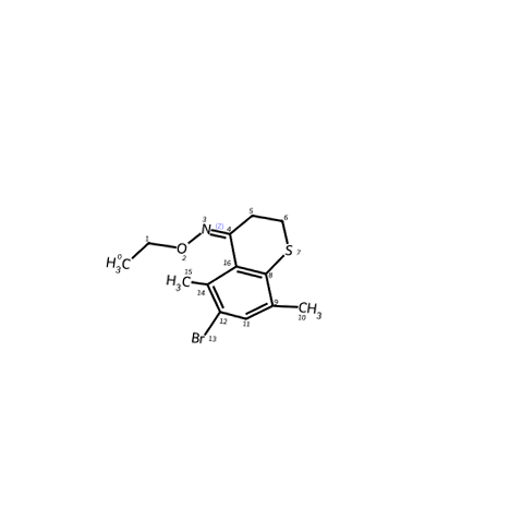 CCO/N=C1/CCSc2c(C)cc(Br)c(C)c21